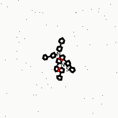 c1ccc(-c2ccc(N(c3ccc(-c4ccccc4)cc3)c3ccc(-c4ccc5c(sc6ccccc65)c4N(c4ccc(-c5ccccc5)cc4)c4ccccc4-c4ccccc4)cc3)cc2)cc1